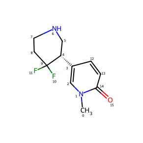 Cn1cc([C@H]2CNCCC2(F)F)ccc1=O